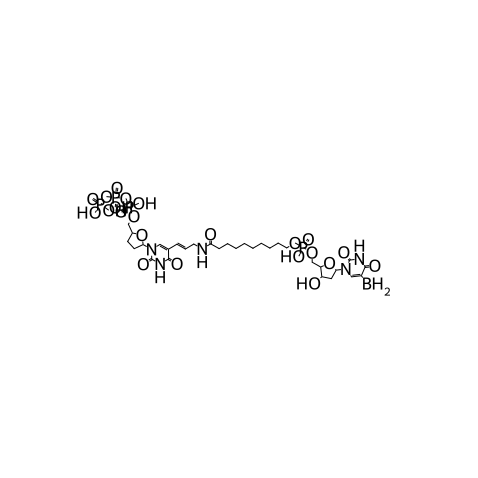 Bc1cn(C2CC(O)C(COP(=O)(O)OCCCCCCCCCC(=O)NC/C=C/c3cn(C4CCC(COP(=O)(O)OP(=O)(O)OP(=O)(O)O)O4)c(=O)[nH]c3=O)O2)c(=O)[nH]c1=O